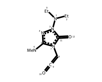 CCN(CC)n1nc(NC)n(C=C=O)c1=O